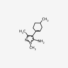 Cc1nn(C)c(N)c1C1=CCC(C)CC1